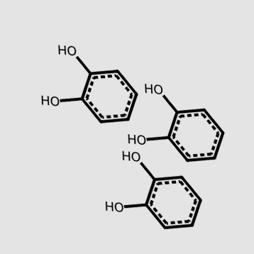 Oc1ccccc1O.Oc1ccccc1O.Oc1ccccc1O